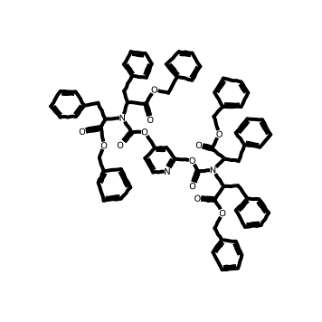 O=C(OCc1ccccc1)C(Cc1ccccc1)N(C(=O)Oc1ccnc(OC(=O)N(C(Cc2ccccc2)C(=O)OCc2ccccc2)C(Cc2ccccc2)C(=O)OCc2ccccc2)c1)C(Cc1ccccc1)C(=O)OCc1ccccc1